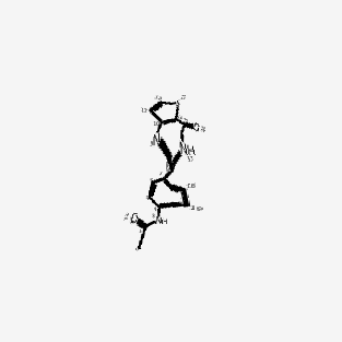 CC(=O)Nc1ccc(-c2nc3ccsc3c(=O)[nH]2)cc1